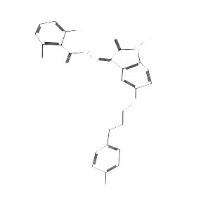 CCCCCN1C(=O)C(=NNC(=O)c2c(N)cccc2C(F)(F)F)c2cc(SCCCc3ccc(C(=O)O)cc3)ccc21